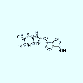 O[C@@H]1COC2C1OC[C@H]2Oc1nc2nc(I)c(Cl)cc2[nH]1